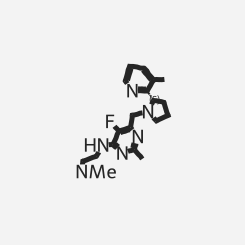 CNCCNc1nc(C)nc(CN2CCC[C@H]2c2ncccc2C)c1F